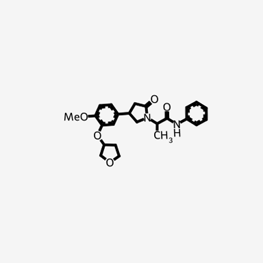 COc1ccc(C2CC(=O)N(C(C)C(=O)Nc3ccccc3)C2)cc1OC1CCOC1